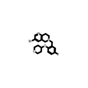 Fc1ccc(OC2CCOCC2)c(CN2CCc3ncc(Br)cc3C2)c1